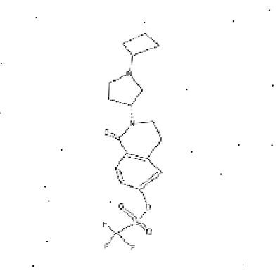 O=C1c2ccc(OS(=O)(=O)C(F)(F)F)cc2CCN1[C@@H]1CCN(C2CCC2)C1